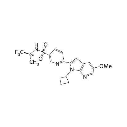 COc1cnc2c(c1)cc(-c1ccc(S(=O)(=O)N[C@@H](C)C(F)(F)F)cn1)n2C1CCC1